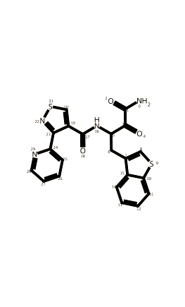 NC(=O)C(=O)C(Cc1csc2ccccc12)NC(=O)c1csnc1-c1ccccn1